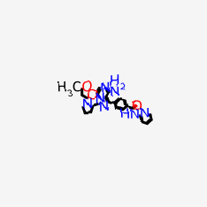 CC(=O)CC(=O)N1CCCC1c1nc(-c2ccc(C(=O)Nc3ccccn3)cc2)c2c(N)nccn12